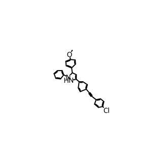 COc1ccc(C2C=C(c3ccc(C#Cc4ccc(Cl)cc4)cc3)NN2c2ccccc2)cc1